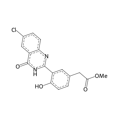 COC(=O)Cc1ccc(O)c(-c2nc3ccc(Cl)cc3c(=O)[nH]2)c1